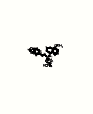 COc1cccc2c1CCC[C@H]2CN(C)CCc1ccc2ocnc2c1.CS(=O)(=O)O